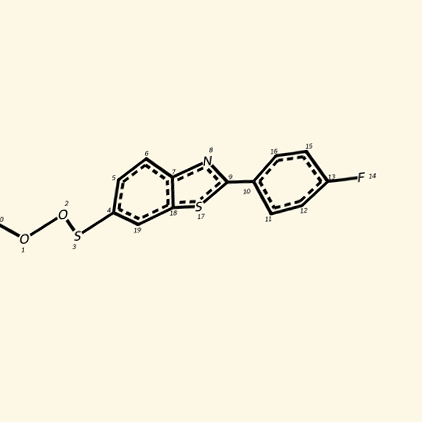 COOSc1ccc2nc(-c3ccc(F)cc3)sc2c1